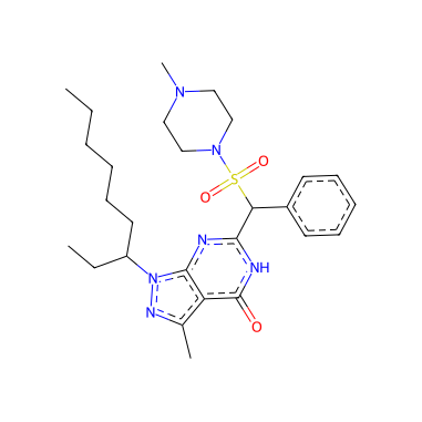 CCCCCCC(CC)n1nc(C)c2c(=O)[nH]c(C(c3ccccc3)S(=O)(=O)N3CCN(C)CC3)nc21